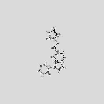 c1ccc(-c2nnc3ccc(OCc4ncn[nH]4)nn23)cc1